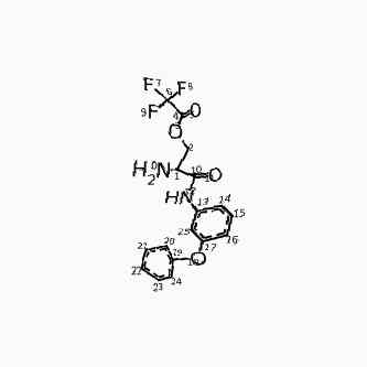 N[C@H](COC(=O)C(F)(F)F)C(=O)Nc1cccc(Oc2ccccc2)c1